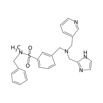 CN(Cc1ccccc1)S(=O)(=O)c1cccc(CN(Cc2cccnc2)Cc2ncc[nH]2)c1